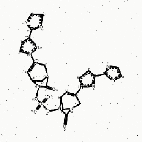 O=C1N2CC(n3ccc(-c4ncco4)n3)=CC(C2)N1OS(=O)(=O)ON1C(=O)N2CC(n3ccc(-c4ncco4)n3)=CC1C2